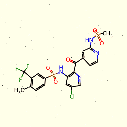 Cc1ccc(S(=O)(=O)Nc2cc(Cl)cnc2C(=O)c2ccnc(NS(C)(=O)=O)c2)cc1C(F)(F)F